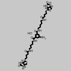 Cl.Nc1cc(C(=O)NCCCCCNC(=O)CCCC[C@@H]2SC[C@@H]3NC(=O)N[C@@H]32)cc(C(=O)NCCCCCNC(=O)CCCC[C@@H]2SC[C@@H]3NC(=O)N[C@@H]32)c1